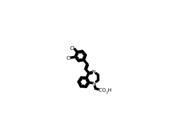 O=C(O)CN1CCN=C(C=Cc2ccc(Cl)c(Cl)c2)c2ccccc21